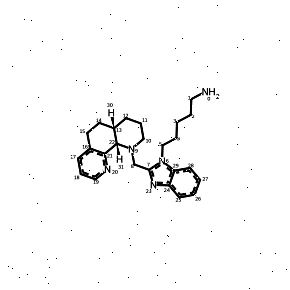 NCCCCCn1c(CN2CCC[C@H]3CCc4cccnc4[C@H]32)nc2ccccc21